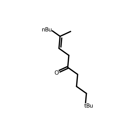 CCCC/C(C)=C/CC(=O)CCCC(C)(C)C